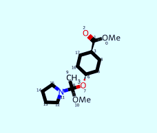 COC(=O)[C@H]1CC[C@H](OC(C)(OC)N2CCCC2)CC1